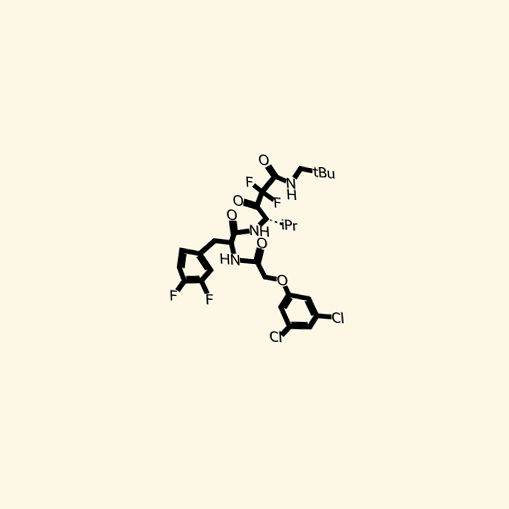 CC(C)[C@H](NC(=O)C(Cc1ccc(F)c(F)c1)NC(=O)COc1cc(Cl)cc(Cl)c1)C(=O)C(F)(F)C(=O)NCC(C)(C)C